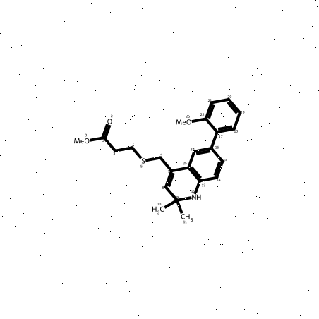 COC(=O)CCSCC1=CC(C)(C)Nc2ccc(-c3ccccc3OC)cc21